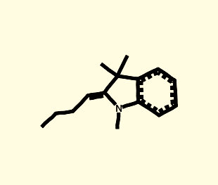 CCCC=C1N(C)c2ccccc2C1(C)C